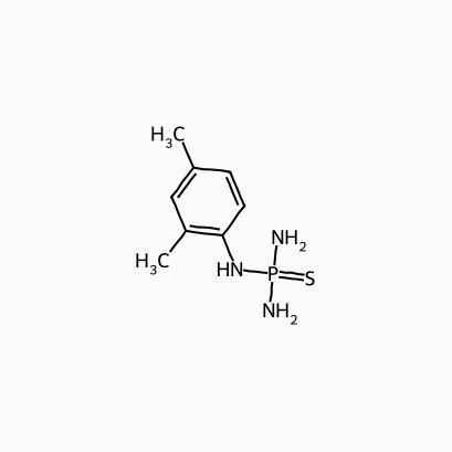 Cc1ccc(NP(N)(N)=S)c(C)c1